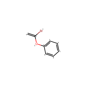 C=C(Br)Oc1ccccc1